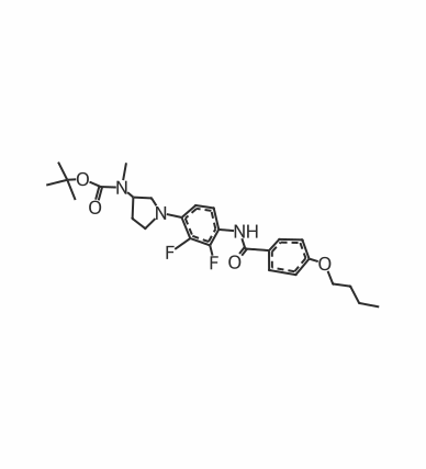 CCCCOc1ccc(C(=O)Nc2ccc(N3CCC(N(C)C(=O)OC(C)(C)C)C3)c(F)c2F)cc1